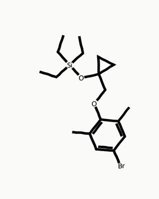 CC[Si](CC)(CC)OC1(COc2c(C)cc(Br)cc2C)CC1